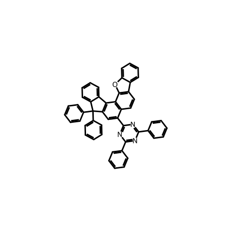 c1ccc(-c2nc(-c3ccccc3)nc(-c3cc4c(c5c3ccc3c6ccccc6oc35)-c3ccccc3C4(c3ccccc3)c3ccccc3)n2)cc1